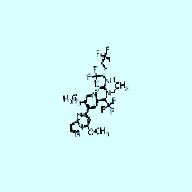 CCN(C(=O)N[C@@H](CCC(F)(F)F)C(F)(F)F)[C@@H](c1cc(-c2cc(OC)n3nccc3n2)c(OC)cn1)C(F)(F)F